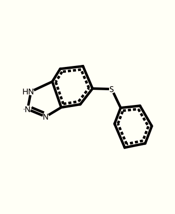 c1ccc(Sc2ccc3c(c2)N=[N+]N3)cc1